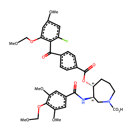 COCOc1cc(OC)cc(F)c1C(=O)c1ccc(C(=O)O[C@@H]2CCCN(C(=O)O)C[C@H]2NC(=O)c2cc(OC)c(OCOC)c(OC)c2)cc1